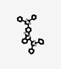 c1ccc(-c2cc(-c3ccc4c(c3)nc3c5ccccc5c(-c5cc(-c6ccccc6)nc(-c6ccccc6)n5)cn43)nc(-c3ccccc3)n2)cc1